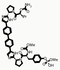 COC(=O)N[C@@H](Cc1ccc(OP(=O)(O)OC)cc1)C(=O)N1CCC[C@H]1c1ncc(-c2ccc(-c3ccc(-c4cnc([C@@H]5CCCN5C(=O)[C@@H](OC(N)=O)C(C)C)[nH]4)cc3)cc2)[nH]1